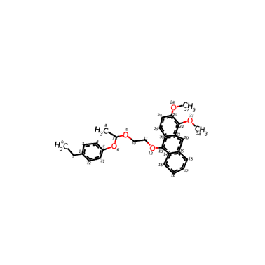 CCc1ccc(OC(C)OCCOc2c3ccccc3cc3c(OC)c(OC)ccc23)cc1